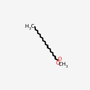 CCCCCCCCCCCC=CCCCCC=CC(=O)OC